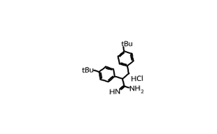 CC(C)(C)c1ccc(CC(C(=N)N)c2ccc(C(C)(C)C)cc2)cc1.Cl